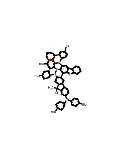 CC(C)(C)c1ccc(N2B3c4cc(C(C)(C)C)ccc4N(c4ccc(C(C)(C)C)cc4-c4ccccc4)c4cc5c(oc6ccccc65)c(c43)-c3cc4c(cc32)C(C)(C)c2cc(N(c3ccc(C(C)(C)C)cc3)c3ccc(C(C)(C)C)cc3)ccc2-4)cc1